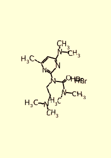 Br.Br.Cc1cc(N(C)C)nc(N(CCN(C)C)C(=O)N(C)C)n1